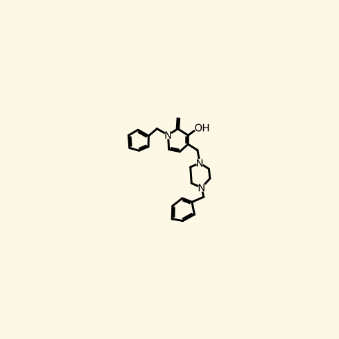 C=C1C(O)=C(CN2CCN(Cc3ccccc3)CC2)C=CN1Cc1ccccc1